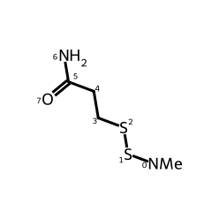 CNSSCCC(N)=O